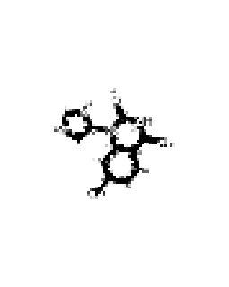 O=c1[nH]c(=O)n(-c2cncs2)c2cc(Cl)ccc12